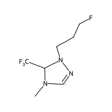 CN1[C]=NN(CCCF)C1C(F)(F)F